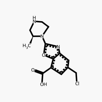 C[C@H]1CNCCN1c1nc2cc(CCl)cc(C(=O)O)c2o1